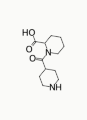 O=C(O)C1CCCCN1C(=O)C1CCNCC1